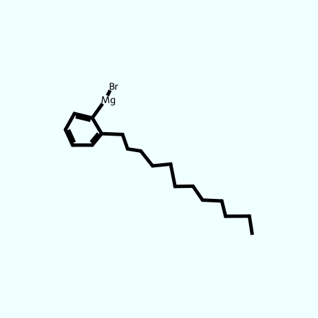 CCCCCCCCCCCCc1cccc[c]1[Mg][Br]